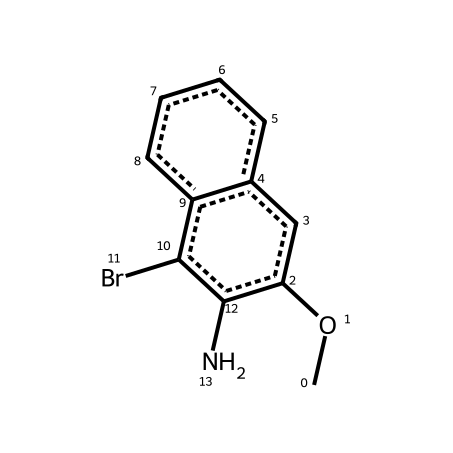 COc1cc2ccccc2c(Br)c1N